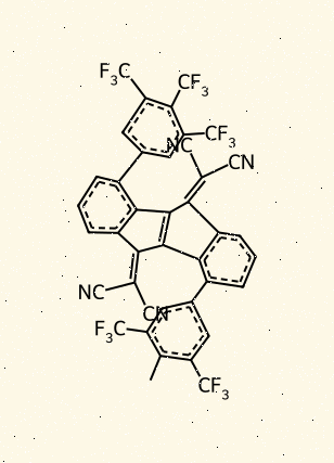 Cc1c(C(F)(F)F)cc(-c2cccc3c2C2=C(C3=C(C#N)C#N)c3c(cccc3-c3cc(C(F)(F)F)c(C(F)(F)F)c(C(F)(F)F)c3)C2=C(C#N)C#N)cc1C(F)(F)F